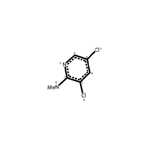 CNc1ncc(Cl)cc1Cl